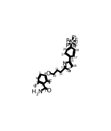 NC(=O)c1c(F)ccc(OCCCc2nc(-c3ccc(S(F)(F)(F)(F)F)cc3)cs2)c1F